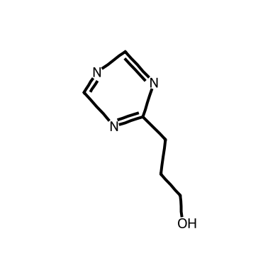 OCCCc1ncncn1